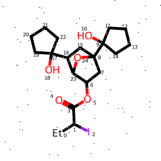 CCC(I)C(=O)OC1CC2(C3(O)CCCC3)CC(C3(O)CCCC3)C1O2